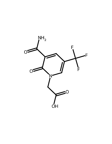 NC(=O)c1cc(C(F)(F)F)cn(CC(=O)O)c1=O